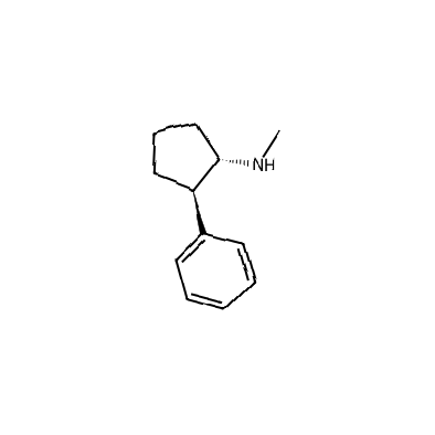 CN[C@H]1CCC[C@@H]1c1ccccc1